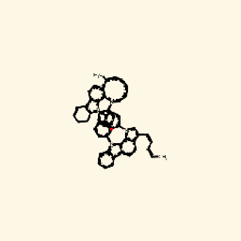 C/C=C\C=C/c1cn(-c2ccc(-n3c4c(c5ccc6c(C)cccccn(-c7ccccc7)c6c53)C=CCC4)cc2)c2c1ccc1c3ccccc3n(-c3ccccc3)c12